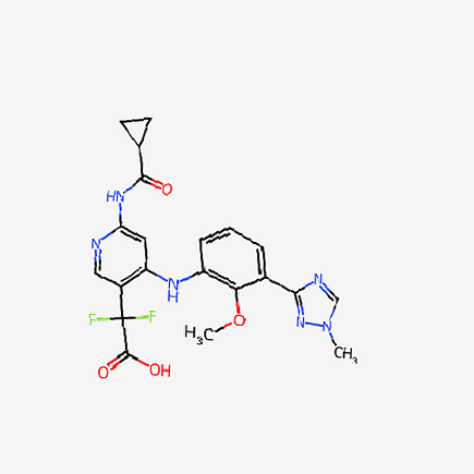 COc1c(Nc2cc(NC(=O)C3CC3)ncc2C(F)(F)C(=O)O)cccc1-c1ncn(C)n1